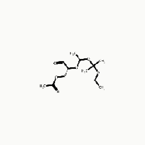 CCOC(C)(C)O[C@H](C)O[C@@H](C=O)COC(C)=O